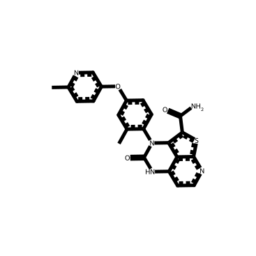 Cc1ccc(Oc2ccc(N3C(=O)Nc4ccnc5sc(C(N)=O)c3c45)c(C)c2)cn1